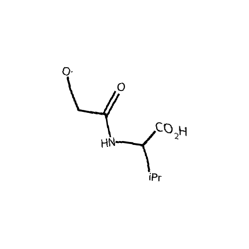 CC(C)C(NC(=O)C[O])C(=O)O